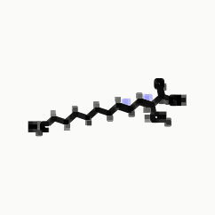 CCCCCCC/C=C/C=C(\C)C(=O)O